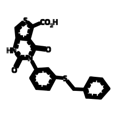 O=C(O)c1scc2[nH]c(=O)n(-c3cccc(SCc4ccccc4)c3)c(=O)c12